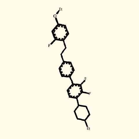 CCOc1ccc(CCc2ccc(-c3ccc(C4CCC(CC)CC4)c(F)c3F)cc2)c(F)c1